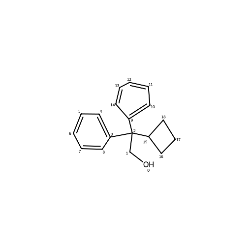 OCC(c1ccccc1)(c1ccccc1)C1CCC1